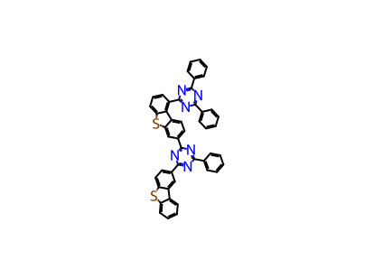 c1ccc(-c2nc(-c3ccc4c(c3)sc3cccc(-c5nc(-c6ccccc6)nc(-c6ccccc6)n5)c34)nc(-c3ccc4sc5ccccc5c4c3)n2)cc1